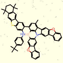 Cc1cc(-c2cc3c(cc2Nc2ccc(C(C)(C)C)cc2)sc2cc4c(cc23)C(C)(C)CCC4(C)C)c2c3c1c1cc4oc5ccccc5c4cc1n3-c1cc3c(cc1B2)oc1ccccc13